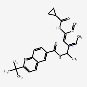 C=N/C(=C\C(=C/C)C(C)NC(=O)c1ccc2nc(C(C)(C)C(F)(F)F)ccc2c1)NC(=O)C1CC1